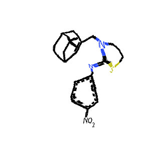 CC1(C)C2C=C(CN3CCSC3=Nc3ccc([N+](=O)[O-])cc3)CC1C2